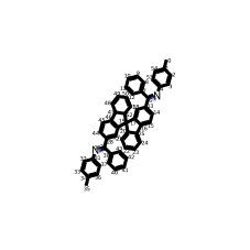 Cc1ccc(/N=C(\c2ccccc2)c2ccc3c(c2)C2(c4ccccc4-3)c3cc(/C(=N/c4ccc(C)cc4)c4ccccc4)ccc3C3C=CC=CC32)cc1